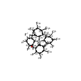 Fc1c(F)c(F)[c]([SbH]([c]2c(F)c(F)c(F)c(F)c2F)([c]2c(F)c(F)c(F)c(F)c2F)[c]2c(F)c(F)c(F)c(F)c2F)c(F)c1F